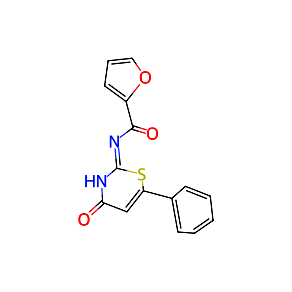 O=C(N=c1[nH]c(=O)cc(-c2ccccc2)s1)c1ccco1